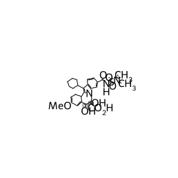 COC1=CCC2C(=C1)[C@H](O)[C@@](O)(C(=O)O)Cn1c2c(C2CCCCC2)c2ccc(C(=O)NS(=O)(=O)N(C)C)cc21